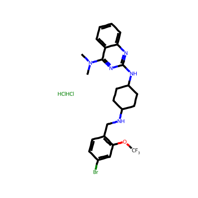 CN(C)c1nc(NC2CCC(NCc3ccc(Br)cc3OC(F)(F)F)CC2)nc2ccccc12.Cl.Cl